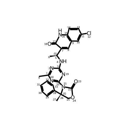 Cc1nc(N[C@@H](C)c2cc3cc(Cl)ccc3[nH]c2=O)nc(N2C(=O)OC[C@]2(C)c2ccccc2)n1